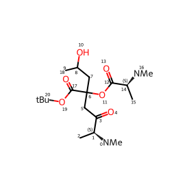 CN[C@@H](C)C(=O)CC(CC(C)O)(OC(=O)[C@H](C)NC)C(=O)OC(C)(C)C